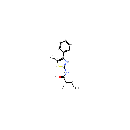 C[C@@H](CC(=O)O)C(=O)Nc1nc(-c2ccccc2)c(C#N)s1